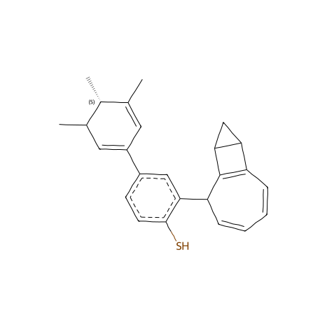 CC1=CC(c2ccc(S)c(C3C=CC=CC4=C3C3CC43)c2)=CC(C)[C@@H]1C